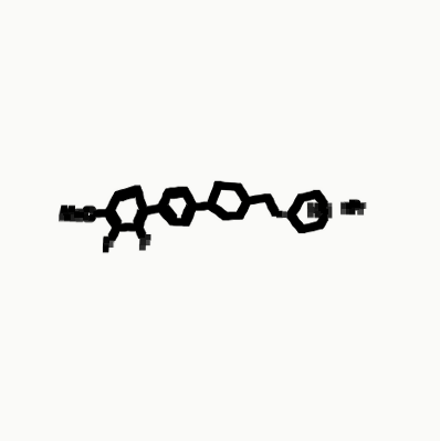 CCC[Si@H]1CC[C@H](CCC2CCC(c3ccc(-c4ccc(OC)c(F)c4F)cc3)CC2)CC1